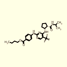 CCCCOC(=O)c1ccc(Nc2ncc(C(F)(F)F)c(N[C@@H]3CCC[C@@H]3C(=O)NC(C)C)n2)cc1